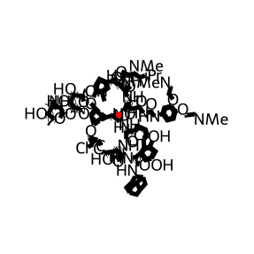 CNCCOc1ccc(NC(=O)NC(=O)C[C@@H]2NC(=O)[C@H](NC(=O)[C@@H](CC(C)C)NC)[C@H](O)c3ccc(c(C)c3)Oc3cc4cc(c3O[C@@H]3O[C@H](CO)[C@@H](O)[C@H](O)[C@H]3O[C@H]3C[C@](C)(N)[C@H](O)[C@H](C)O3)Oc3ccc(cc3Cl)[C@@H](O)[C@@H]3NC(=O)[C@H](NC(=O)[C@@H]4NC2=O)c2ccc(O)c(c2)-c2c(C)cc(O)cc2[C@@H](C(=O)NC2C4CC5CC(C4)CC2C5)NC3=O)cc1OCCNC